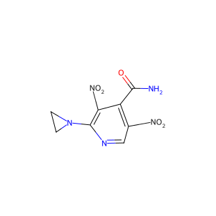 NC(=O)c1c([N+](=O)[O-])cnc(N2CC2)c1[N+](=O)[O-]